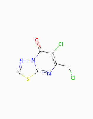 O=c1c(Cl)c(CCl)nc2scnn12